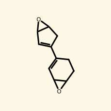 C1=C(C2=CC3OC3C2)CCC2OC12